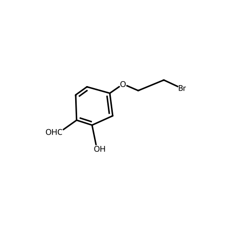 O=Cc1ccc(OCCBr)cc1O